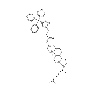 CC(C)CCCC(C)[C@H]1CCC2C3CC=C4C[C@@H](OC(=O)CCc5cn(C(c6ccccc6)(c6ccccc6)c6ccccc6)cn5)CC[C@]4(C)C3CC[C@@]21C